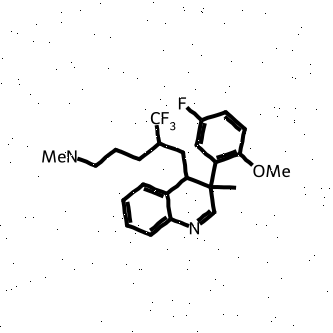 CNCCCC(CC1c2ccccc2N=CC1(C)c1cc(F)ccc1OC)C(F)(F)F